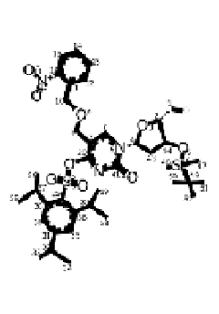 CC[C@H]1O[C@@H](n2cc(COCc3ccccc3[N+](=O)[O-])c(OS(=O)(=O)c3c(C(C)C)cc(C(C)C)cc3C(C)C)nc2=O)CC1O[Si](C)(C)C(C)(C)C